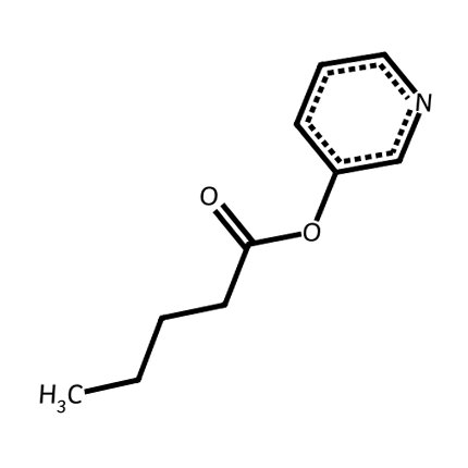 CCCCC(=O)Oc1cccnc1